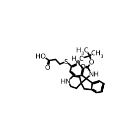 CC(C)(C)OC(=O)NC1(c2ccc(SCCC(=O)O)nc2)c2ccccc2CC12CCNCC2